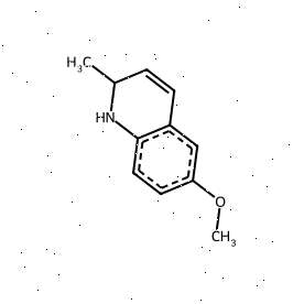 COc1ccc2c(c1)C=CC(C)N2